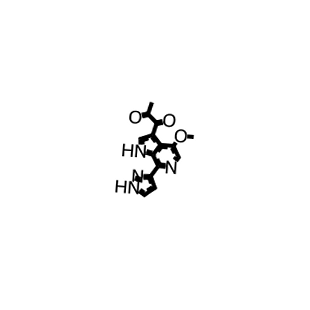 COc1cnc(-c2cc[nH]n2)c2[nH]cc(C(=O)C(C)=O)c12